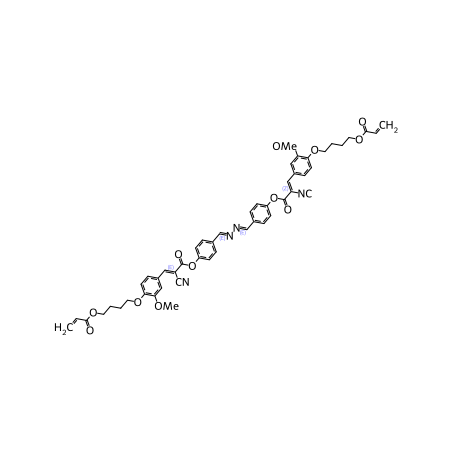 [C-]#[N+]/C(=C\c1ccc(OCCCCOC(=O)C=C)c(OC)c1)C(=O)Oc1ccc(/C=N/N=C/c2ccc(OC(=O)/C(C#N)=C/c3ccc(OCCCCOC(=O)C=C)c(OC)c3)cc2)cc1